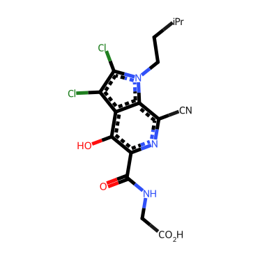 CC(C)CCn1c(Cl)c(Cl)c2c(O)c(C(=O)NCC(=O)O)nc(C#N)c21